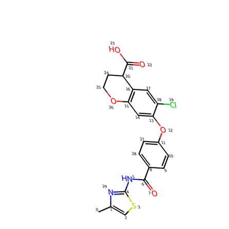 Cc1csc(NC(=O)c2ccc(Oc3cc4c(cc3Cl)C(C(=O)O)CCO4)cc2)n1